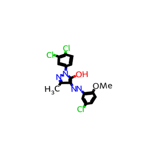 COc1ccc(Cl)cc1N=Nc1c(C)nn(-c2ccc(Cl)c(Cl)c2)c1O